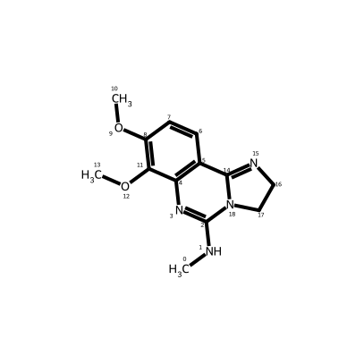 CNC1=Nc2c(ccc(OC)c2OC)C2=NCCN12